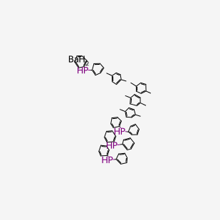 Cc1ccc(C)cc1.Cc1ccc(C)cc1.Cc1ccc(C)cc1.Cc1ccc(C)cc1.[BaH2].c1ccc(Pc2ccccc2)cc1.c1ccc(Pc2ccccc2)cc1.c1ccc(Pc2ccccc2)cc1.c1ccc(Pc2ccccc2)cc1